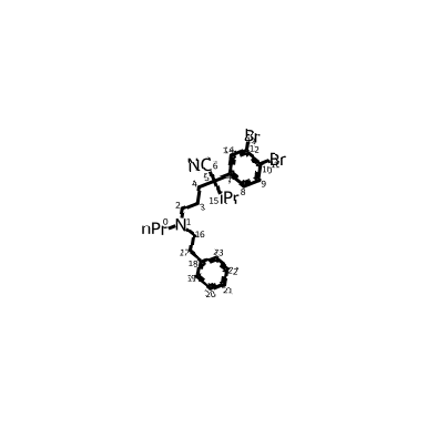 CCCN(CCCC(C#N)(c1ccc(Br)c(Br)c1)C(C)C)CCc1ccccc1